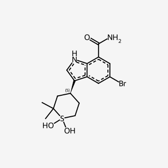 CC1(C)C[C@@H](c2c[nH]c3c(C(N)=O)cc(Br)cc23)CCS1(O)O